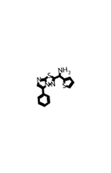 NC(c1cccs1)c1nn2c(-c3ccccc3)cnc2s1